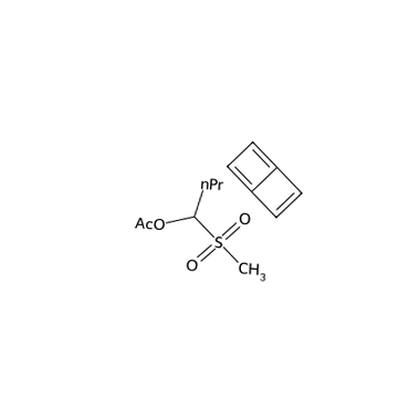 CCCC(OC(C)=O)S(C)(=O)=O.c1cc2ccc1-2